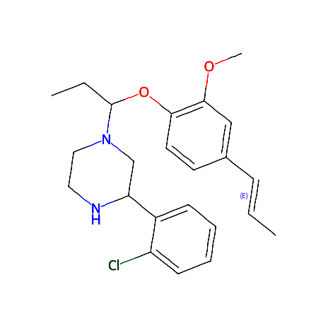 C/C=C/c1ccc(OC(CC)N2CCNC(c3ccccc3Cl)C2)c(OC)c1